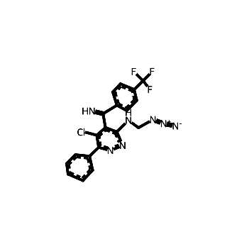 [N-]=[N+]=NCNc1nnc(-c2ccccc2)c(Cl)c1C(=N)c1ccc(C(F)(F)F)cc1